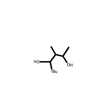 CC(O)C(C)C(O)C(C)(C)C